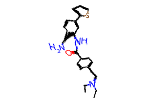 CCN(CC)Cc1ccc(C(=O)Nc2cc(-c3cccs3)ccc2N)cc1